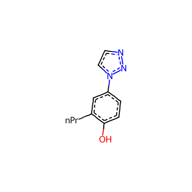 CCCc1cc(-n2ccnn2)ccc1O